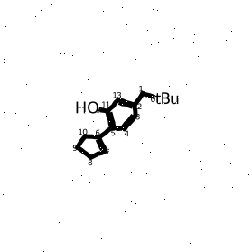 CC(C)(C)Cc1ccc(C2=CCCC2)c(O)c1